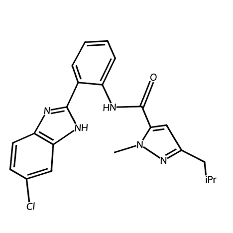 CC(C)Cc1cc(C(=O)Nc2ccccc2-c2nc3ccc(Cl)cc3[nH]2)n(C)n1